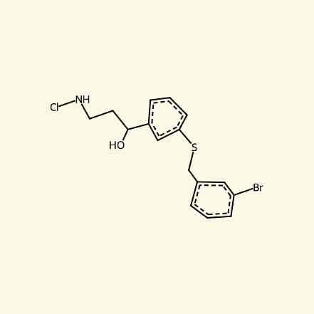 OC(CCNCl)c1cccc(SCc2cccc(Br)c2)c1